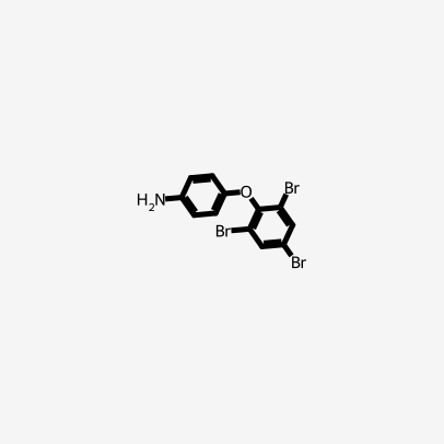 Nc1ccc(Oc2c(Br)cc(Br)cc2Br)cc1